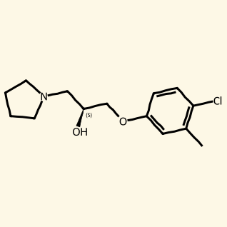 Cc1cc(OC[C@@H](O)CN2CCCC2)ccc1Cl